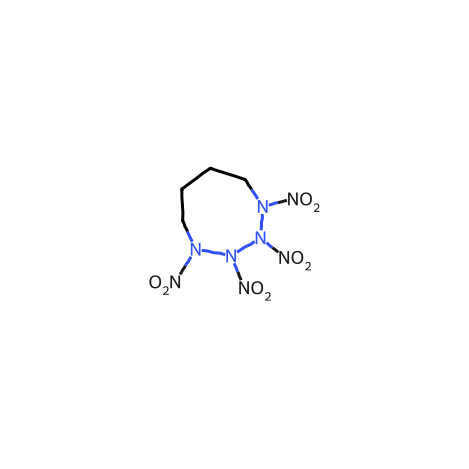 O=[N+]([O-])N1CCCCN([N+](=O)[O-])N([N+](=O)[O-])N1[N+](=O)[O-]